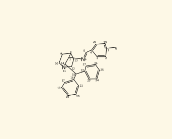 Cc1ccc(C=NC2C3CCN(CC3)C2C(c2ccccc2)c2ccccc2)cc1